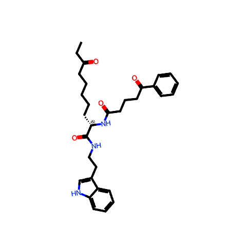 CCC(=O)CCCCC[C@H](NC(=O)CCCC(=O)c1ccccc1)C(=O)NCCc1c[nH]c2ccccc12